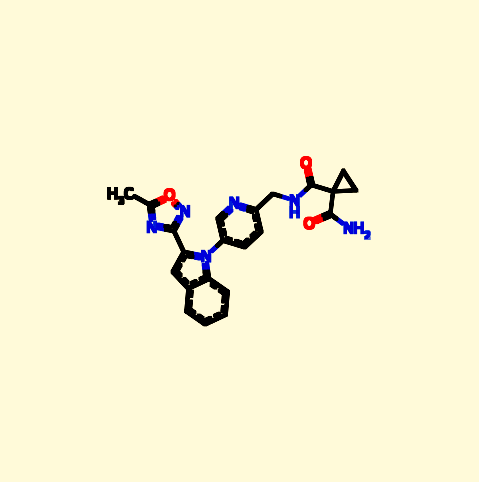 Cc1nc(-c2cc3ccccc3n2-c2ccc(CNC(=O)C3(C(N)=O)CC3)nc2)no1